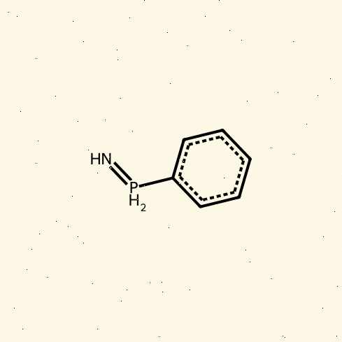 N=[PH2]c1ccccc1